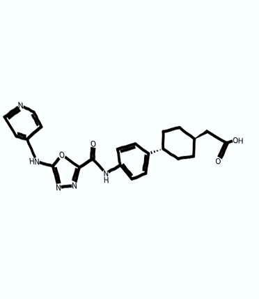 O=C(O)C[C@H]1CC[C@H](c2ccc(NC(=O)c3nnc(Nc4ccncc4)o3)cc2)CC1